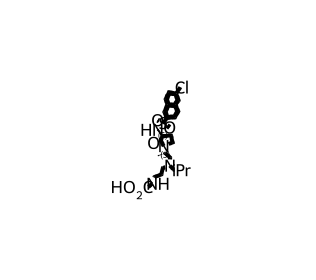 CC(C)N(CCCNC(=O)O)C[C@H](C)N1CC[C@H](NS(=O)(=O)c2ccc3cc(Cl)ccc3c2)C1=O